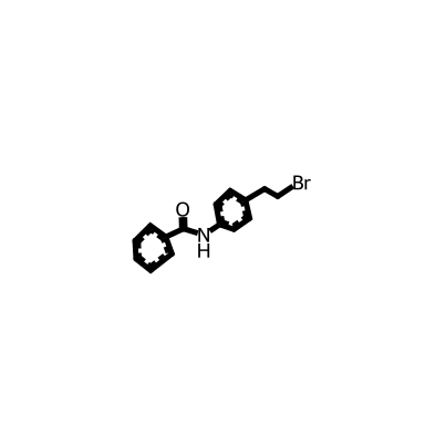 O=C(Nc1ccc(CCBr)cc1)c1ccccc1